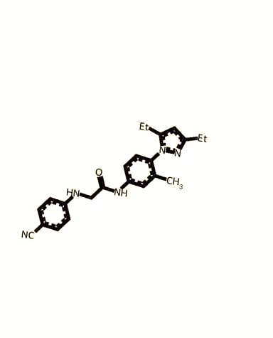 CCc1cc(CC)n(-c2ccc(NC(=O)CNc3ccc(C#N)cc3)cc2C)n1